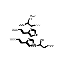 O=C([O-])C=Cc1c[nH]cn1.O=C([O-])C=Cc1c[nH]cn1.O=C([O-])CC(O)C(=O)[O-].O=C([O-])CC(O)C(=O)[O-].[Mo+6]